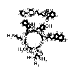 CC(C)[C@@H]1NC(=O)[C@H](CCCCN)NC(=O)[C@@H](Cc2c[nH]c3ccccc23)NC(=O)[C@H](Cc2ccc(O)cc2)NC(=O)[C@@H](NC(=O)[C@H](N)Cc2ccc3ccccc3c2)CSSC[C@@H](C(=O)N[C@H](C(N)=O)[C@@H](C)O)NC1=O.Cl.O=C1c2ccccc2S(=O)(=O)N1CCCCN1CCN(c2ncccn2)CC1